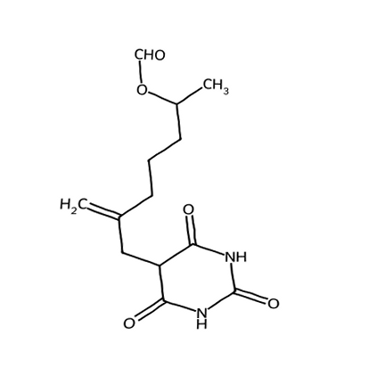 C=C(CCCC(C)OC=O)CC1C(=O)NC(=O)NC1=O